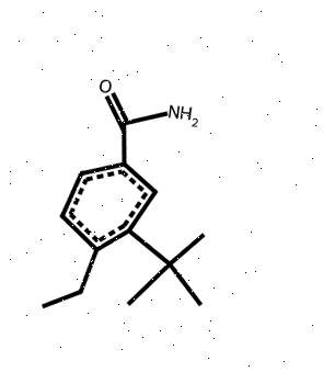 CCc1ccc(C(N)=O)cc1C(C)(C)C